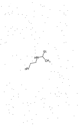 CCCC[CH]NC(C)CC